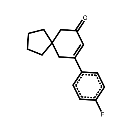 O=C1C=C(c2ccc(F)cc2)CC2(CCCC2)C1